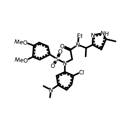 CCN(C(=O)CN(c1cc(N(C)C)ccc1Cl)S(=O)(=O)c1ccc(OC)c(OC)c1)C(C)c1cc(C)[nH]n1